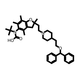 Cc1c(C)c(N(C(=O)O)C(C)(C)C)c(C)c2c1OC(C)(CCN1CCC(CCOC(c3ccccc3)c3ccccc3)CC1)C2